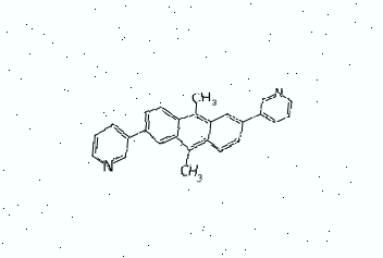 Cc1c2ccc(-c3cccnc3)cc2c(C)c2ccc(-c3cccnc3)cc12